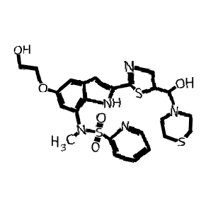 CN(c1cc(OCCO)cc2cc(C3=NCC(C(O)N4CCSCC4)S3)[nH]c12)S(=O)(=O)c1ccccn1